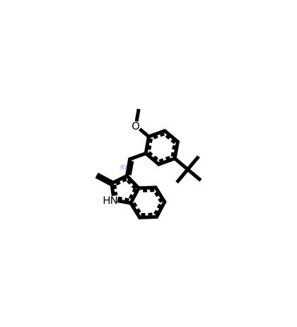 C=c1[nH]c2ccccc2/c1=C\c1cc(C(C)(C)C)ccc1OC